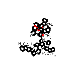 CC1(C)c2ccccc2-c2cc3c4ccccc4n(-c4ccncc4-c4cc(-c5cc(-c6ccc(-n7c8ccccc8c8cc9c(cc87)C(C)(C)c7ccccc7-9)c(-c7cnccc7-n7c8ccccc8c8cc9c(cc87)C(C)(C)c7ccccc7-9)c6)nc(-c6ccccc6)n5)ccc4-n4c5ccccc5c5cc6c(cc54)C(C)(C)c4ccccc4-6)c3cc21